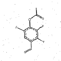 C=Cc1cc(F)c(OC(C)=O)c(F)c1F